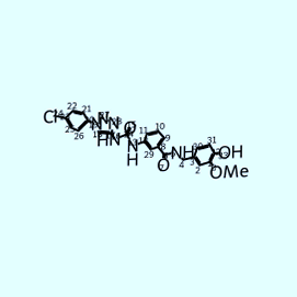 COc1cc(CNC(=O)c2cccc(NC(=O)Nc3cn(-c4ccc(Cl)cc4)nn3)c2)ccc1O